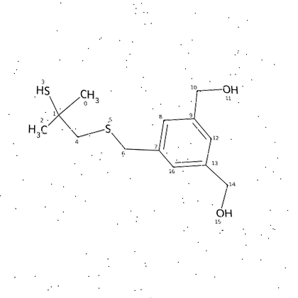 CC(C)(S)CSCc1cc(CO)cc(CO)c1